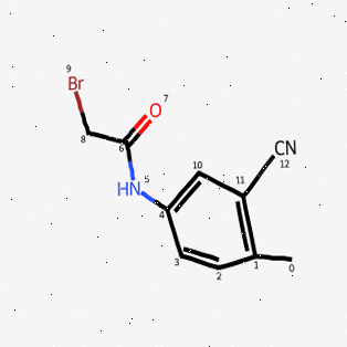 Cc1ccc(NC(=O)CBr)cc1C#N